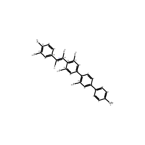 CCCc1ccc(-c2ccc(-c3cc(F)c(/C(F)=C(\F)c4ccc(F)c(F)c4)c(F)c3)c(F)c2)cc1